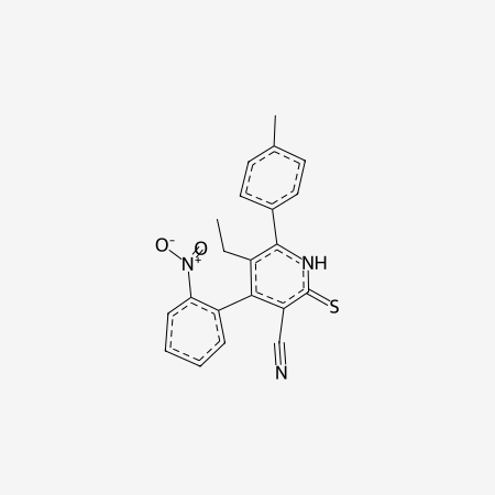 CCc1c(-c2ccc(C)cc2)[nH]c(=S)c(C#N)c1-c1ccccc1[N+](=O)[O-]